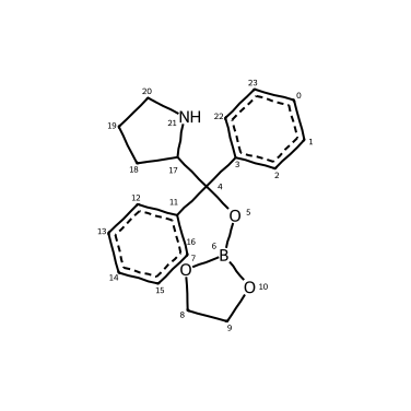 c1ccc(C(OB2OCCO2)(c2ccccc2)C2CCCN2)cc1